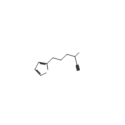 C#CC(CCCc1cccs1)C(=O)O